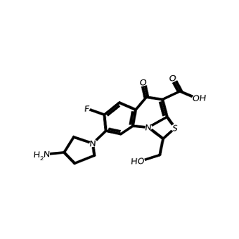 NC1CCN(c2cc3c(cc2F)c(=O)c(C(=O)O)c2n3C(CO)S2)C1